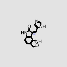 O=C1Nc2ccc3c(c2/C1=C/c1cnc[nH]1)NOC3